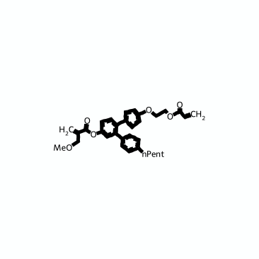 C=CC(=O)OCCOc1ccc(-c2ccc(OC(=O)C(=C)COC)cc2-c2ccc(CCCCC)cc2)cc1